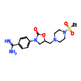 CCS(=O)(=O)N1CCN(CC2CN(c3ccc(C(=N)N)cc3)C(=O)O2)CC1